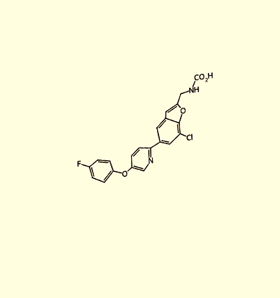 O=C(O)NCc1cc2cc(-c3ccc(Oc4ccc(F)cc4)cn3)cc(Cl)c2o1